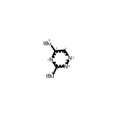 CC(C)(C)c1cnnc(C(C)(C)C)n1